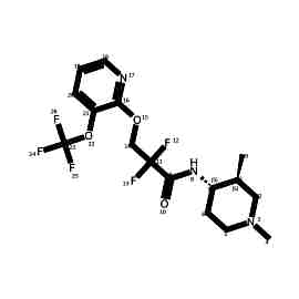 C[C@H]1CN(C)CC[C@@H]1NC(=O)C(F)(F)COc1ncccc1OC(F)(F)F